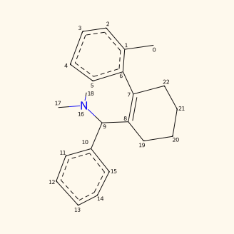 Cc1ccccc1C1=C(C(c2ccccc2)N(C)C)CCCC1